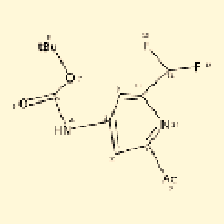 CC(=O)c1cc(NC(=O)OC(C)(C)C)cc(C(F)F)n1